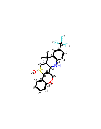 CC1(C)c2cc(C(F)(F)F)ccc2NC2C3=C(c4ccccc4OC3)[S+]([O-])CC21